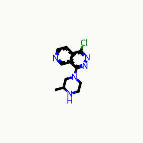 CC1CN(c2nnc(Cl)c3ccncc23)CCN1